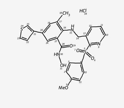 COc1ccc(S(=O)(=O)c2ncccc2CNc2c(C)cc(-c3ccsc3)cc2C(=O)NO)cc1.Cl